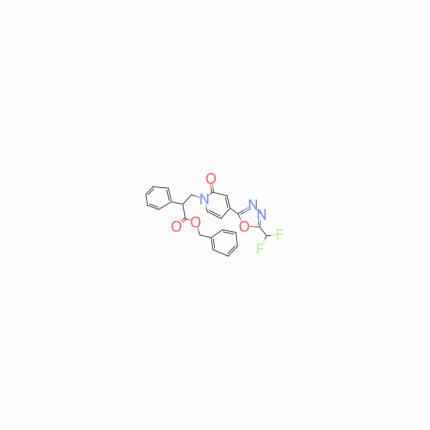 O=C(OCc1ccccc1)C(Cn1ccc(-c2nnc(C(F)F)o2)cc1=O)c1ccccc1